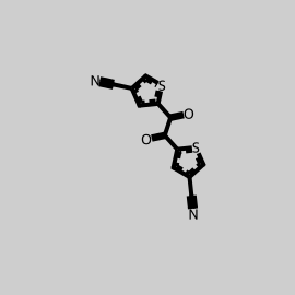 N#Cc1csc(C(=O)C(=O)c2cc(C#N)cs2)c1